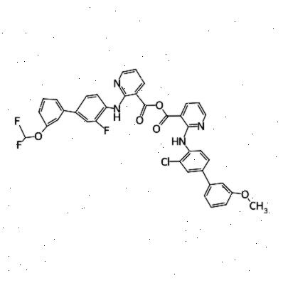 COc1cccc(-c2ccc(Nc3ncccc3C(=O)OC(=O)c3cccnc3Nc3ccc(-c4cccc(OC(F)F)c4)cc3F)c(Cl)c2)c1